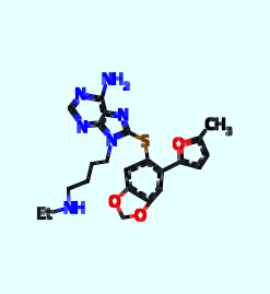 CCNCCCCn1c(Sc2cc3c(cc2-c2ccc(C)o2)OCO3)nc2c(N)ncnc21